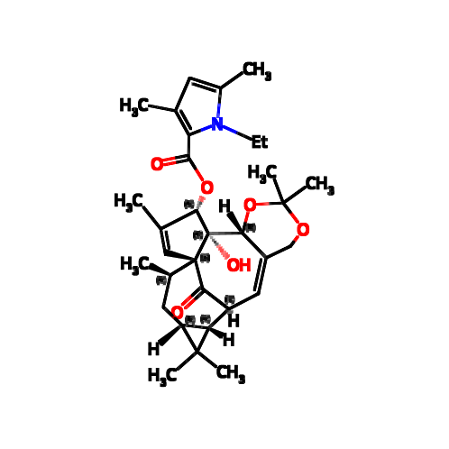 CCn1c(C)cc(C)c1C(=O)O[C@H]1C(C)=C[C@]23C(=O)[C@@H](C=C4COC(C)(C)O[C@H]4[C@]12O)[C@H]1[C@@H](C[C@H]3C)C1(C)C